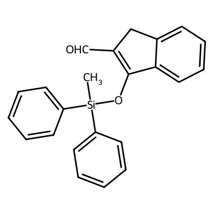 C[Si](OC1=C(C=O)Cc2ccccc21)(c1ccccc1)c1ccccc1